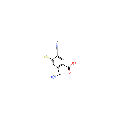 N#Cc1cc(C(=O)O)c(CN)cc1S